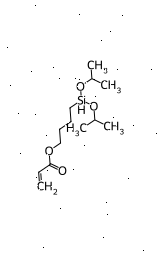 C=CC(=O)OCCCC[SiH](OC(C)C)OC(C)C